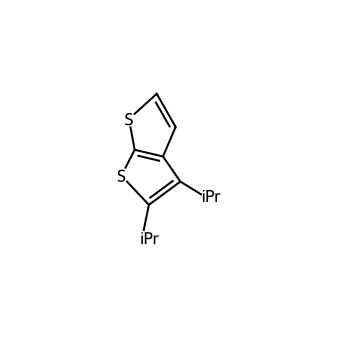 CC(C)c1sc2sccc2c1C(C)C